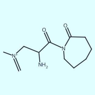 C=[N+](C)CC(N)C(=O)N1CCCCCC1=O